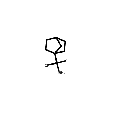 [SiH3]C(Cl)(Cl)C12CCC(CC1)C2